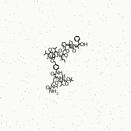 CC[C@H](C)[C@@H]([C@@H](CC(=O)N1CCC[C@H]1[C@H](OC)[C@@H](C)C(=O)N[C@H](C)[C@@H](O)c1ccccc1)OC)N(C)C(=O)[C@@H](NC(=O)[C@H](C(C)C)N(C)C(=O)OCc1ccc(NC(=O)[C@H](CCCNC(N)=O)NC(=O)[C@@H](NC(=O)OC(C)(C)C)C(C)C)cc1)C(C)C